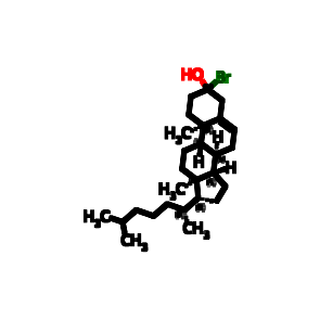 CC(C)CCC[C@@H](C)[C@H]1CC[C@H]2[C@@H]3CC=C4CC(O)(Br)CC[C@]4(C)[C@H]3CC[C@]12C